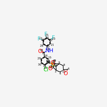 C[C@H]1CC2C[C@]3(CO3)CC1C2S(=O)(=O)c1cc(C(=O)Nc2cc(F)c(F)c(F)c2)ccc1Cl